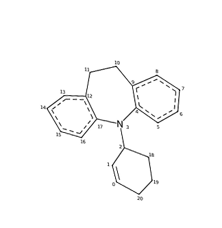 C1=CC(N2c3ccccc3CCc3ccccc32)CCC1